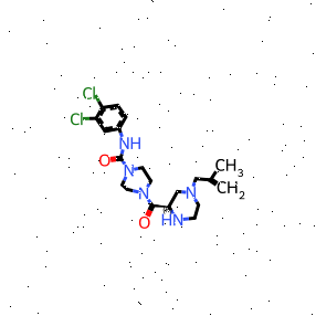 C=C(C)CN1CCN[C@@H](C(=O)N2CCN(C(=O)Nc3ccc(Cl)c(Cl)c3)CC2)C1